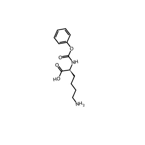 NCCCC[C@H](NC(=O)Oc1ccccc1)C(=O)O